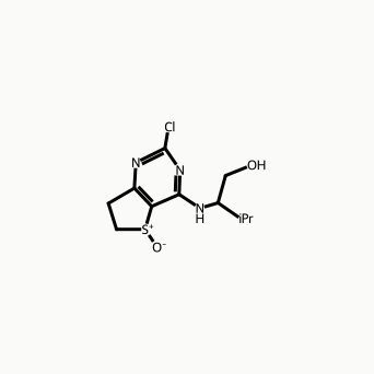 CC(C)C(CO)Nc1nc(Cl)nc2c1[S+]([O-])CC2